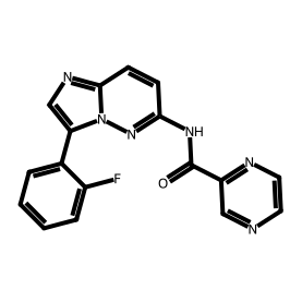 O=C(Nc1ccc2ncc(-c3ccccc3F)n2n1)c1cnccn1